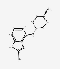 CC(C)c1cc2c(O[C@H]3CC[C@H](N)CC3)ncnc2s1